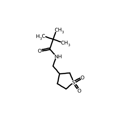 CC(C)(C)C(=O)NCC1CCS(=O)(=O)C1